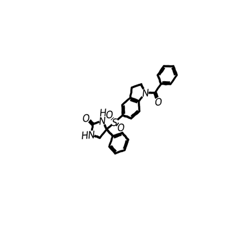 O=C1NCC(c2ccccc2)(S(=O)(=O)c2ccc3c(c2)CCN3C(=O)c2ccccc2)N1